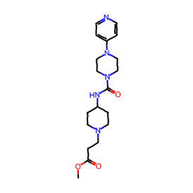 COC(=O)CCN1CCC(NC(=O)N2CCN(c3ccncc3)CC2)CC1